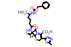 Cc1nnc(C2=C(C(=O)O)N3C(=O)[C@@](C=S)(NC(=O)CCCC(NC(=O)OCc4ccccc4)C(=O)O)[C@@H]3SC2)s1